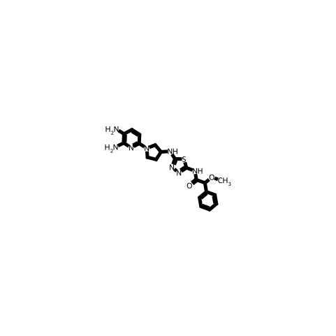 COC(C(=O)Nc1nnc(NC2CCN(c3ccc(N)c(N)n3)C2)s1)c1ccccc1